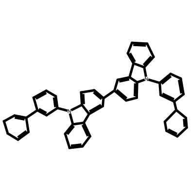 C1=CCC(c2cccc(-n3c4ccccc4c4cc(-c5ccc6c(c5)c5ccccc5n6-c5cccc(C6=CCCC=C6)c5)ccc43)c2)C=C1